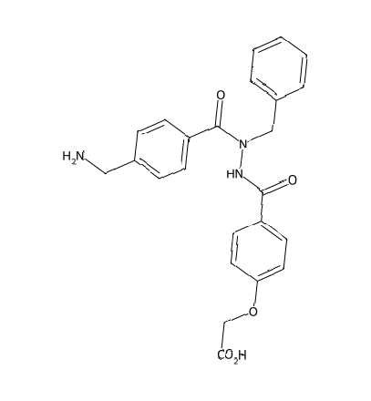 NCc1ccc(C(=O)N(Cc2ccccc2)NC(=O)c2ccc(OCC(=O)O)cc2)cc1